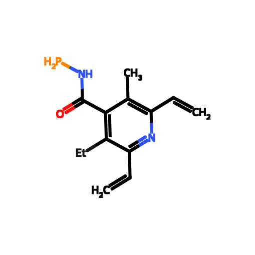 C=Cc1nc(C=C)c(CC)c(C(=O)NP)c1C